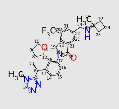 Cn1cnnc1[C@@H](C[C@@H]1CCOC1)c1cccc(N2Cc3c(cc(CNC4(C)CCC4)cc3C(F)(F)F)C2=O)c1